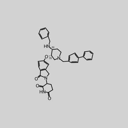 O=C1CCC(N2Cc3cc(O[C@H]4CN(Cc5ccc(-c6ccccc6)cc5)CC[C@@H]4NCc4ccccc4)ccc3C2=O)C(=O)N1